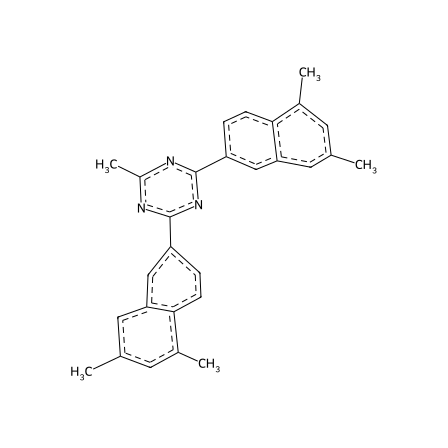 Cc1cc(C)c2ccc(-c3nc(C)nc(-c4ccc5c(C)cc(C)cc5c4)n3)cc2c1